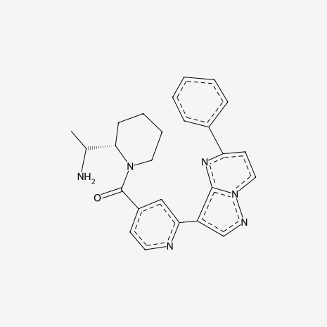 CC(N)[C@@H]1CCCCN1C(=O)c1ccnc(-c2cnn3ccc(-c4ccccc4)nc23)c1